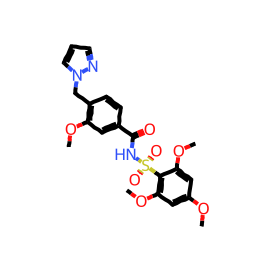 COc1cc(OC)c(S(=O)(=O)NC(=O)c2ccc(Cn3cccn3)c(OC)c2)c(OC)c1